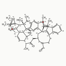 CCC(=O)C[C@@H]1CN(C=O)CCc2c([nH]c3ccccc23)[C@@](C(=O)OC)(c2cc3c(cc2OC)N(C)[C@H]2[C@](O)(C(=O)OC)[C@H](OC(C)=O)[C@]4(CC)C=CCN5CC[C@]32[C@@H]54)C1